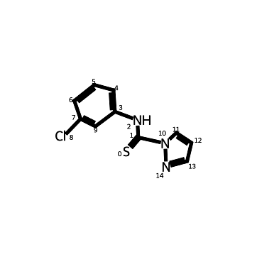 S=C(Nc1cccc(Cl)c1)n1cccn1